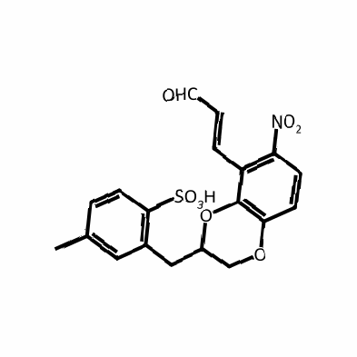 Cc1ccc(S(=O)(=O)O)c(CC2COc3ccc([N+](=O)[O-])c(/C=C/C=O)c3O2)c1